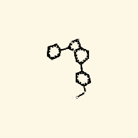 COc1ccc(-c2ccc3nnc(-c4ccccc4)n3c2)cc1